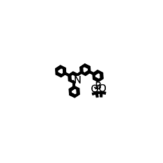 CC1(C)OB(c2cccc(-c3cccc(-c4cc(-c5ccccc5)cc(-c5ccccc5)n4)c3)c2)OC1(C)C